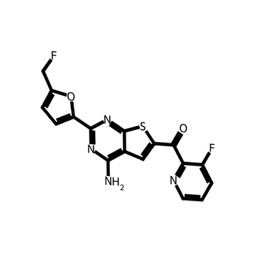 Nc1nc(-c2ccc(CF)o2)nc2sc(C(=O)c3ncccc3F)cc12